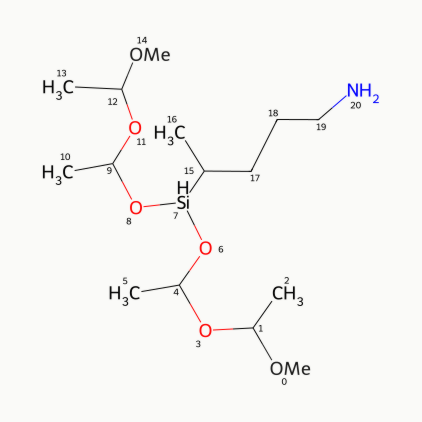 COC(C)OC(C)O[SiH](OC(C)OC(C)OC)C(C)CCCN